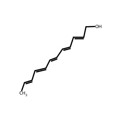 CC=CC=CC=CC=CC=CCO